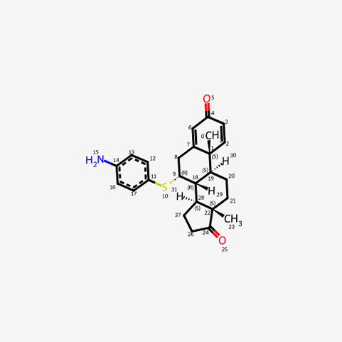 C[C@]12C=CC(=O)C=C1C[C@@H](Sc1ccc(N)cc1)[C@@H]1[C@@H]2CC[C@]2(C)C(=O)CC[C@@H]12